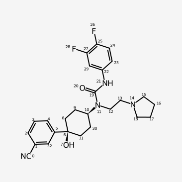 N#Cc1cccc([C@]2(O)CC[C@@H](N(CCN3CCCC3)C(=O)Nc3ccc(F)c(F)c3)CC2)c1